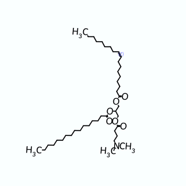 CCCCCCCC/C=C\CCCCCCCC(=O)OCC(COC(=O)CCCN(C)C)OC(=O)CCCCCCCCCCCCCCC